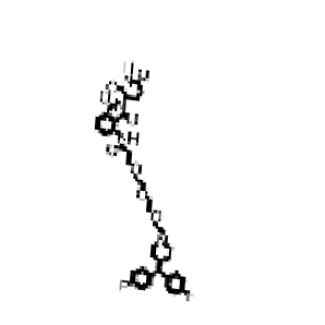 O=C1CCC(N2C(=O)c3cccc(NC(=O)CCOCCOCCOCCN4CCC(=C(c5ccc(F)cc5)c5ccc(F)cc5)CC4)c3C2=O)C(=O)N1